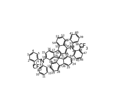 FC(F)(F)c1ccccc1N(c1ccccc1)c1ccc2c(c1)C1(c3ccccc3-c3ccccc31)c1cc(N(c3ccccc3)c3ccccc3C(F)(F)F)c3ccccc3c1-2